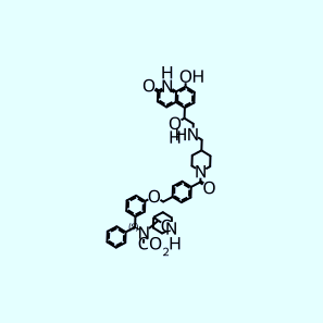 O=C(c1ccc(COc2cccc([C@H](c3ccccc3)N(C(=O)O)C3CN4CCC3CC4)c2)cc1)N1CCC(CNCC(O)c2ccc(O)c3[nH]c(=O)ccc23)CC1